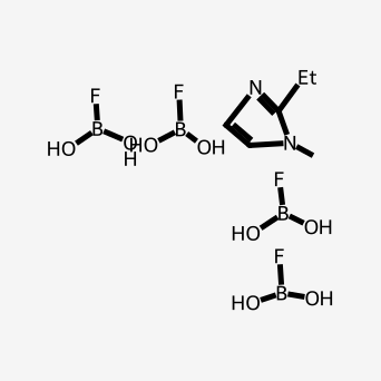 CCc1nccn1C.OB(O)F.OB(O)F.OB(O)F.OB(O)F